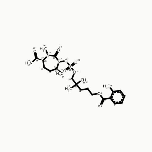 Cc1ccccc1C(=O)OCCCC(C)(C)COS(=O)(=O)ON1C(=O)N(C)[C@H](C(N)=O)CC[C@@H]1C